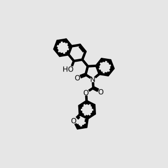 O=C(Oc1ccc2ccoc2c1)N1C(=O)C(C2C=Cc3ccccc3C2O)c2ccccc21